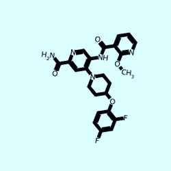 COc1ncccc1C(=O)Nc1cnc(C(N)=O)cc1N1CCC(Oc2ccc(F)cc2F)CC1